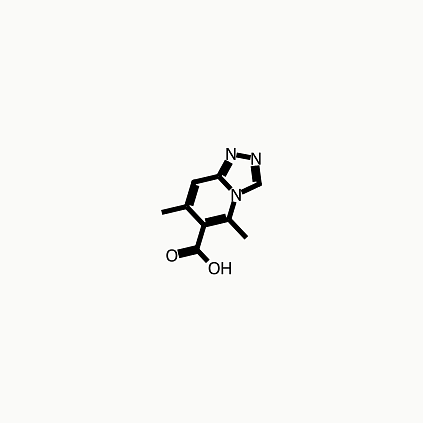 Cc1cc2nncn2c(C)c1C(=O)O